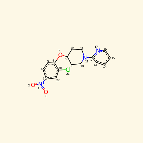 O=[N+]([O-])c1ccc(OC2CCN(c3ccccn3)CC2)c(Cl)c1